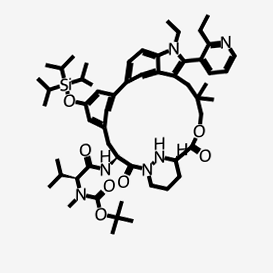 CCc1ncccc1-c1c2c3cc(ccc3n1CC)-c1cc(cc(O[Si](C(C)C)(C(C)C)C(C)C)c1)C[C@H](NC(=O)[C@H](C(C)C)N(C)C(=O)OC(C)(C)C)C(=O)N1CCC[C@H](N1)C(=O)OCC(C)(C)C2